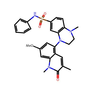 COc1cc(N2CCN(C)c3ccc(S(=O)(=O)Nc4ccccc4)cc32)c2cc(C)c(=O)n(C)c2c1